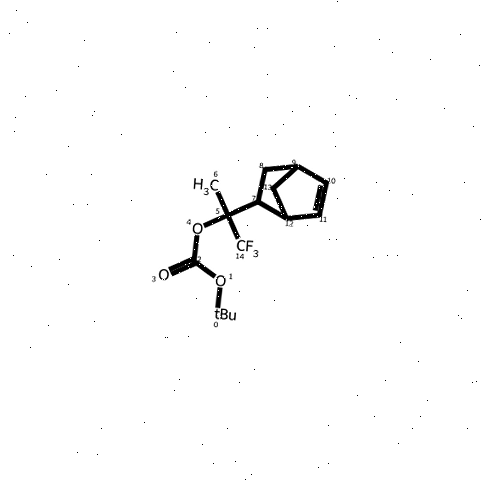 CC(C)(C)OC(=O)OC(C)(C1CC2C=CC1C2)C(F)(F)F